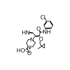 CC1(CO/C(C(=O)Nc2cccc(Cl)c2)=C(/C=N)N2CCN(S(=O)O)CC2)CC1